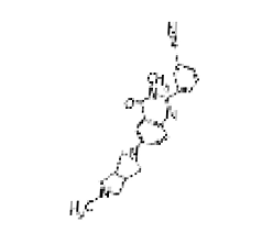 CN1CC2CN(c3ccc4nc(-c5cccc(C#N)c5)n(C)c(=O)c4c3)CC2C1